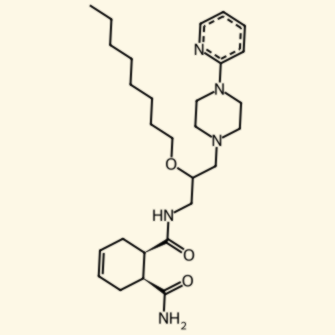 CCCCCCCCOC(CNC(=O)[C@@H]1CC=CC[C@@H]1C(N)=O)CN1CCN(c2ccccn2)CC1